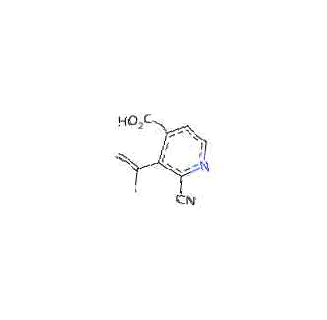 C=C(C)c1c(C(=O)O)ccnc1C#N